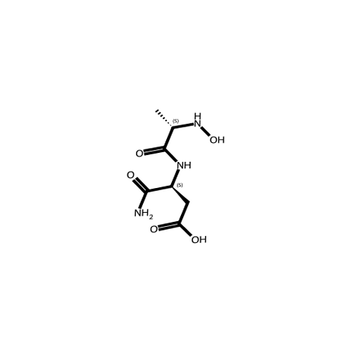 C[C@H](NO)C(=O)N[C@@H](CC(=O)O)C(N)=O